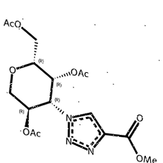 COC(=O)c1cn([C@H]2[C@@H](OC(C)=O)[C@@H](COC(C)=O)O[CH][C@@H]2OC(C)=O)nn1